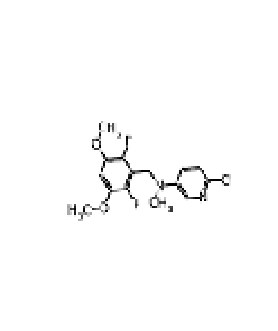 COc1cc(OC)c(F)c(CN(C)c2ccc(Cl)nc2)c1F